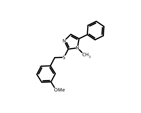 COc1cc[c]c(CSc2ncc(-c3ccccc3)n2C)c1